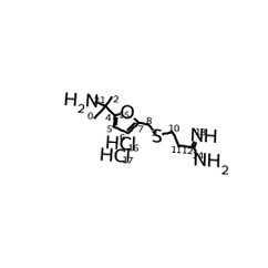 CC(C)(N)c1ccc(CSCCC(=N)N)o1.Cl.Cl